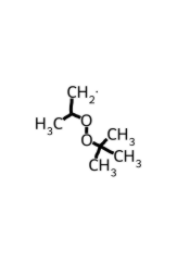 [CH2]C(C)OOC(C)(C)C